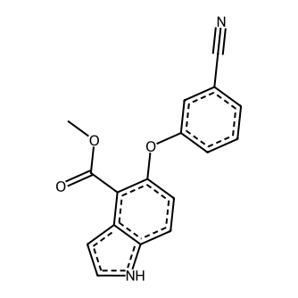 COC(=O)c1c(Oc2cccc(C#N)c2)ccc2[nH]ccc12